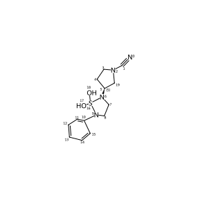 N#CN1CC[C@H](N2CCN(c3ccccc3)S2(O)O)C1